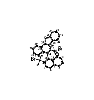 CC(C)(Br)c1ccc2ccccc2c1-c1c([N+](=O)[O-])c2c3ccccc3sc2c2ccccc12